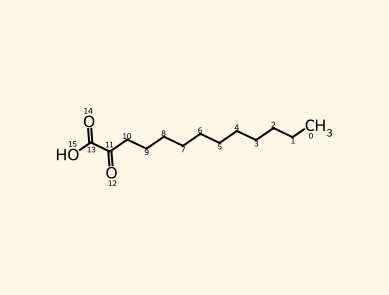 CCCCCCCCCCCC(=O)C(=O)O